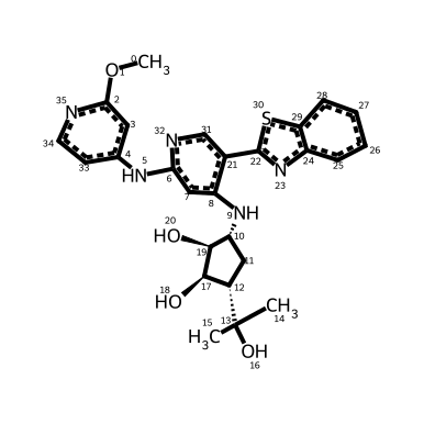 COc1cc(Nc2cc(N[C@@H]3C[C@H](C(C)(C)O)[C@@H](O)[C@H]3O)c(-c3nc4ccccc4s3)cn2)ccn1